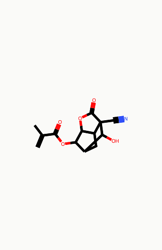 C=C(C)C(=O)OC1C2CC3C1OC(=O)C3(C#N)C2O